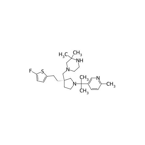 Cc1ccc(C(C)(C)N2CC[C@@](CCc3ccc(F)s3)(CN3CCNC(C)(C)C3)C2)cn1